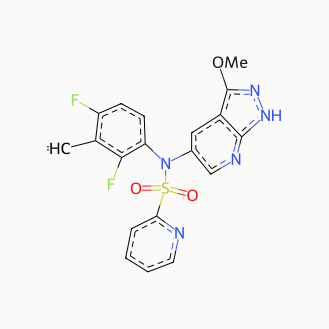 [CH]c1c(F)ccc(N(c2cnc3[nH]nc(OC)c3c2)S(=O)(=O)c2ccccn2)c1F